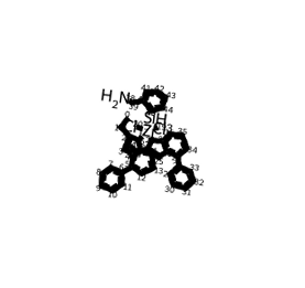 CCC1=Cc2c(-c3ccccc3)cccc2[CH]1[Zr]([SiH3])([Cl])([Cl])[CH]1C(CC)=Cc2c(-c3ccccc3)cccc21.NCc1cc[c]cc1